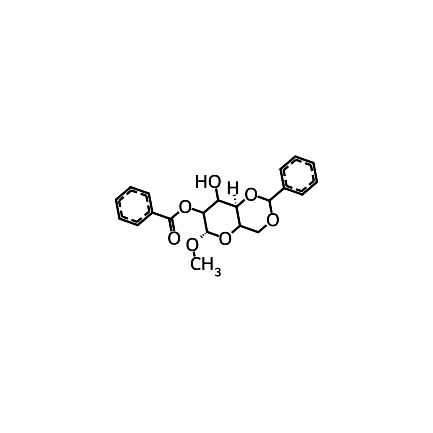 CO[C@H]1OC2COC(c3ccccc3)O[C@@H]2C(O)C1OC(=O)c1ccccc1